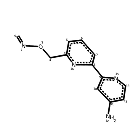 C=NOCc1cccc(-c2cc(N)ccn2)n1